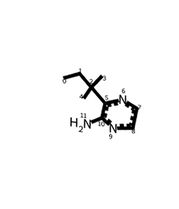 CCC(C)(C)c1nccnc1N